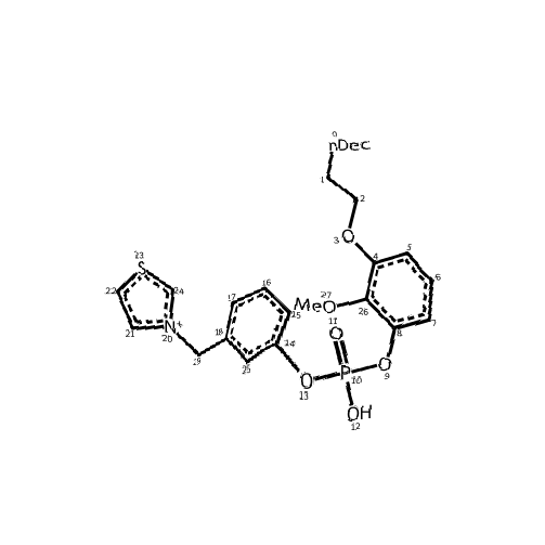 CCCCCCCCCCCCOc1cccc(OP(=O)(O)Oc2cccc(C[n+]3ccsc3)c2)c1OC